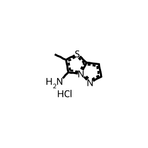 Cc1sc2ccnn2c1N.Cl